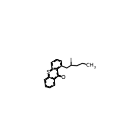 CCCC(I)Cc1cccc2sc3ccccc3c(=O)c12